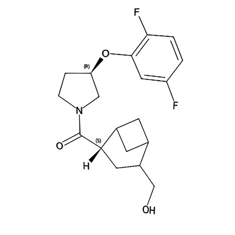 O=C([C@H]1CC(CO)C2CC1C2)N1CC[C@@H](Oc2cc(F)ccc2F)C1